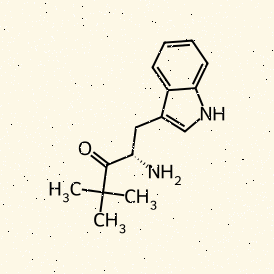 CC(C)(C)C(=O)[C@@H](N)Cc1c[nH]c2ccccc12